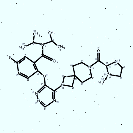 CC(C)N(C(=O)c1cc(F)ccc1Oc1nncnc1N1CC2(CCN(C(=O)[C@H]3NCC[C@H]3C)CC2)C1)C(C)C